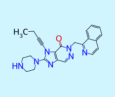 CCC#Cn1c(N2CCNCC2)nc2cnn(Cc3nccc4ccccc34)c(=O)c21